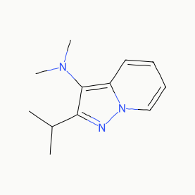 CC(C)c1nn2ccccc2c1N(C)C